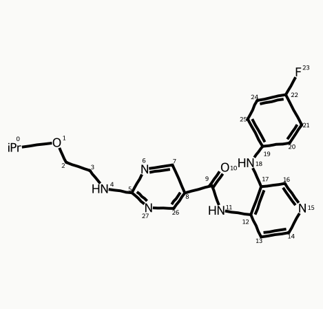 CC(C)OCCNc1ncc(C(=O)Nc2ccncc2Nc2ccc(F)cc2)cn1